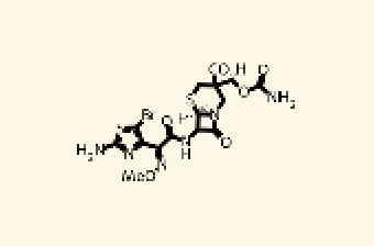 CON=C(C(=O)NC1C(=O)N2CC(COC(N)=O)(C(=O)O)CS[C@H]12)c1nc(N)sc1Br